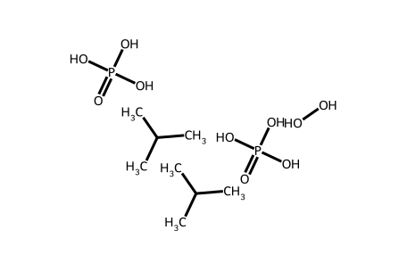 CC(C)C.CC(C)C.O=P(O)(O)O.O=P(O)(O)O.OO